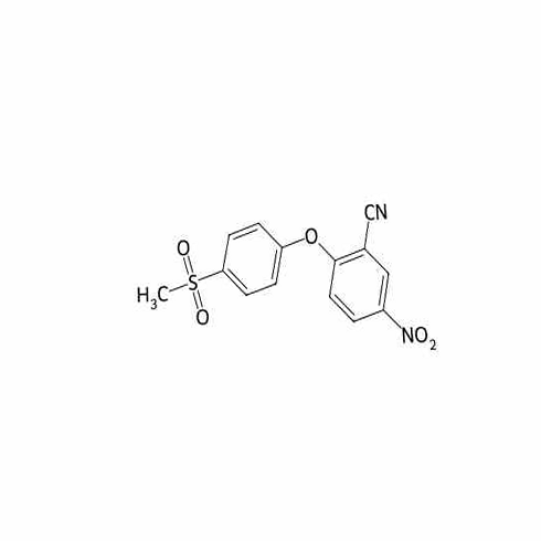 CS(=O)(=O)c1ccc(Oc2ccc([N+](=O)[O-])cc2C#N)cc1